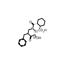 CCN(CC(Cc1ccccc1)C(=O)NO)C(=O)[C@@H]1CCCC[C@H]1C(=O)O